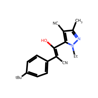 CCn1nc(C)c(C#N)c1C(O)=C(C#N)c1ccc(C(C)(C)C)cc1